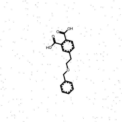 O=C(O)c1ccc(CCOCc2ccccc2)cc1C(=O)O